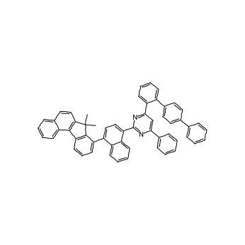 CC1(C)c2ccc3ccccc3c2-c2cccc(-c3ccc(-c4nc(-c5ccccc5)cc(-c5ccccc5-c5ccc(-c6ccccc6)cc5)n4)c4ccccc34)c21